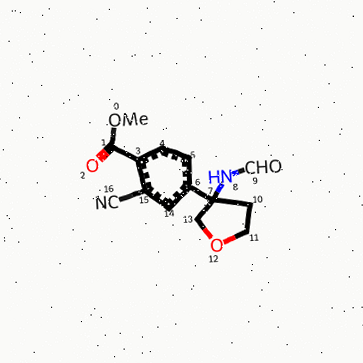 COC(=O)c1ccc(C2(NC=O)CCOC2)cc1C#N